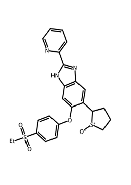 CCS(=O)(=O)c1ccc(Oc2cc3[nH]c(-c4ccccn4)nc3cc2C2CCC[S+]2[O-])cc1